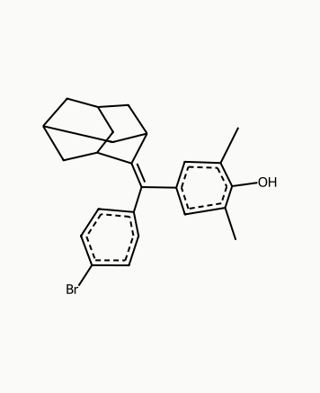 Cc1cc(C(=C2C3CC4CC(C3)CC2C4)c2ccc(Br)cc2)cc(C)c1O